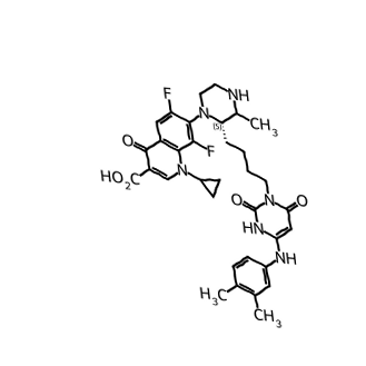 Cc1ccc(Nc2cc(=O)n(CCCC[C@H]3C(C)NCCN3c3c(F)cc4c(=O)c(C(=O)O)cn(C5CC5)c4c3F)c(=O)[nH]2)cc1C